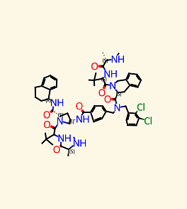 CN[C@@H](C)C(=O)NC(C(=O)N1C[C@@H](NC(=O)c2ccc(CN(Cc3cccc(Cl)c3Cl)C(=O)[C@@H]3Cc4ccccc4CN3C(=O)[C@@H](NC(=O)[C@H](C)NC)C(C)(C)C)cc2)C[C@H]1C(=O)N[C@@H]1CCCc2ccccc21)C(C)(C)C